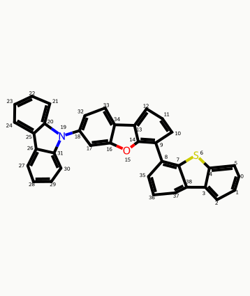 c1ccc2c(c1)sc1c(-c3cccc4c3oc3cc(-n5c6ccccc6c6ccccc65)ccc34)cccc12